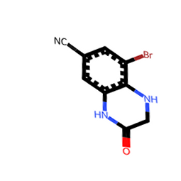 N#Cc1cc(Br)c2c(c1)NC(=O)CN2